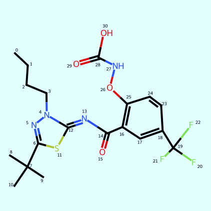 CCCCn1nc(C(C)(C)C)s/c1=N\C(=O)c1cc(C(F)(F)F)ccc1ONC(=O)O